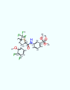 COc1c([C@@H]2C[C@](C)(C(F)(F)F)S[C@H]2C(=O)Nc2cccc([Si](OC)(OC)OC)c2)ccc(F)c1F